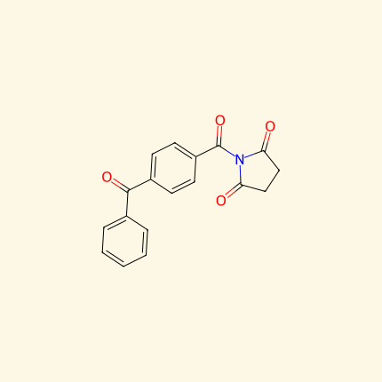 O=C(c1ccccc1)c1ccc(C(=O)N2C(=O)CCC2=O)cc1